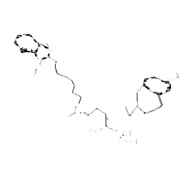 CC(C)[C@H](NC(=O)O)[C@@H](CCC1CCc2cc(F)ccc2C1)CCN(C)CCCCCc1nc2ccccc2n1C